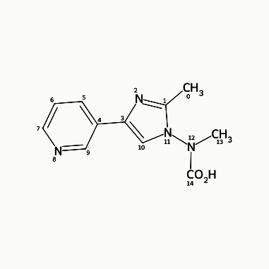 Cc1nc(-c2cccnc2)cn1N(C)C(=O)O